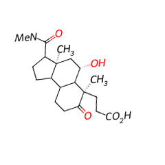 CNC(=O)C1CCC2C3CCC(=O)[C@](C)(CCC(=O)O)C3[C@@H](O)C[C@]12C